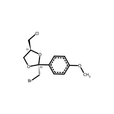 COc1ccc([C@@]2(CBr)OC[C@@H](CCl)O2)cc1